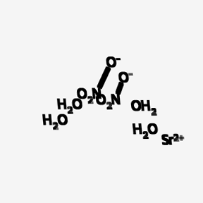 O.O.O.O.O=[N+]([O-])[O-].O=[N+]([O-])[O-].[Sr+2]